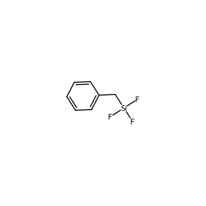 F[Si](F)(F)Cc1ccccc1